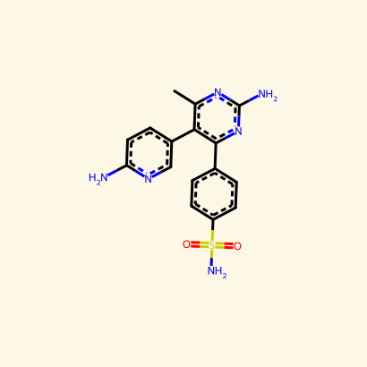 Cc1nc(N)nc(-c2ccc(S(N)(=O)=O)cc2)c1-c1ccc(N)nc1